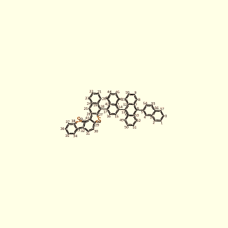 c1ccc2cc(-c3c4ccccc4c(-c4ccc(-c5c6ccccc6cc6c5sc5ccc7c8ccccc8sc7c56)c5ccccc45)c4ccccc34)ccc2c1